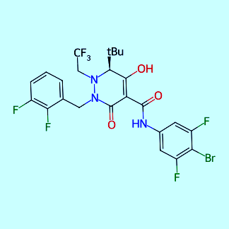 CC(C)(C)[C@H]1C(O)=C(C(=O)Nc2cc(F)c(Br)c(F)c2)C(=O)N(Cc2cccc(F)c2F)N1CC(F)(F)F